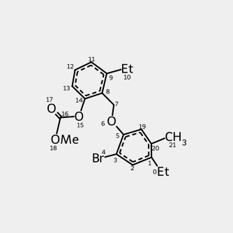 CCc1cc(Br)c(OCc2c(CC)cccc2OC(=O)OC)cc1C